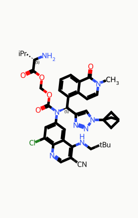 CC(C)[C@H](N)C(=O)OCOC(=O)N(c1cc(Cl)c2ncc(C#N)c(NCC(C)(C)C)c2c1)[C@H](c1cn(C23CC(C2)C3)nn1)c1cccc2c(=O)n(C)ccc12